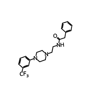 O=C(Cc1ccccc1)NCCN1CCN(c2cccc(C(F)(F)F)c2)CC1